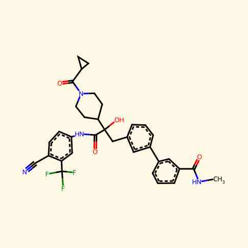 CNC(=O)c1cccc(-c2cccc(CC(O)(C(=O)Nc3ccc(C#N)c(C(F)(F)F)c3)C3CCN(C(=O)C4CC4)CC3)c2)c1